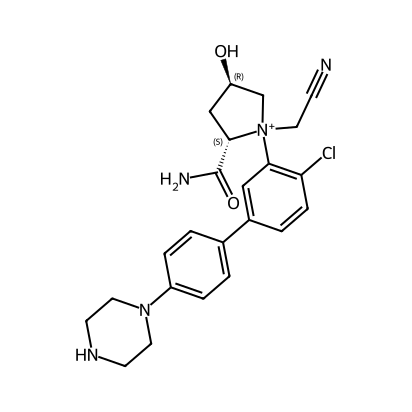 N#CC[N+]1(c2cc(-c3ccc(N4CCNCC4)cc3)ccc2Cl)C[C@H](O)C[C@H]1C(N)=O